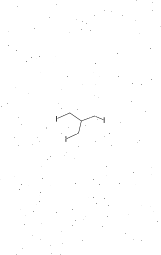 ICC(CI)CI